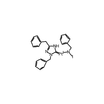 IN(I)Cc1ccccc1.[Pt]=[c]1[nH]c(Cc2ccccc2)nn1Cc1ccccc1